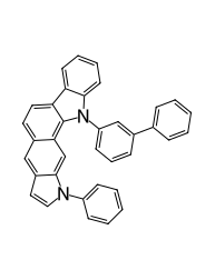 c1ccc(-c2cccc(-n3c4ccccc4c4ccc5cc6ccn(-c7ccccc7)c6cc5c43)c2)cc1